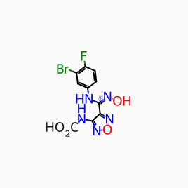 O=C(O)Nc1nonc1/C(=N\O)Nc1ccc(F)c(Br)c1